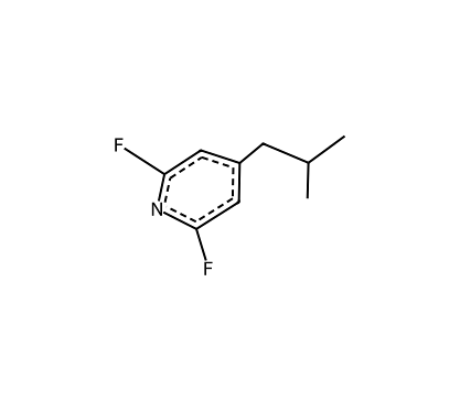 CC(C)Cc1cc(F)nc(F)c1